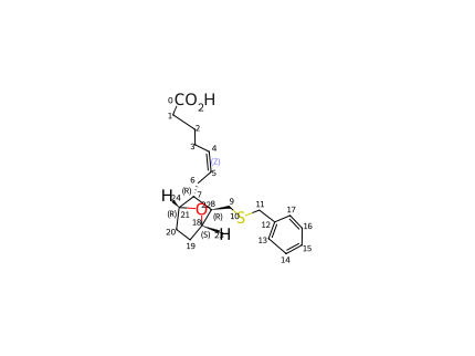 O=C(O)CCC/C=C\C[C@@H]1[C@@H](CSCc2ccccc2)[C@@H]2CC[C@H]1O2